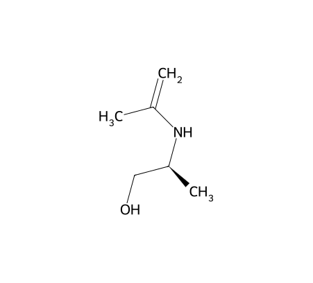 C=C(C)N[C@@H](C)CO